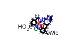 CCC(NC(=O)N1Cc2nccn2CC(Cc2cc(Cl)ccc2OC)C1=O)c1ccc(C(=O)O)c(N)c1